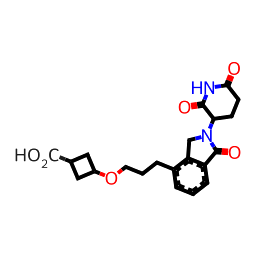 O=C1CCC(N2Cc3c(CCCOC4CC(C(=O)O)C4)cccc3C2=O)C(=O)N1